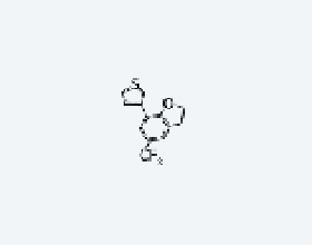 FC(F)(F)c1cc2c(c(-c3ccsc3)c1)O[CH]C2